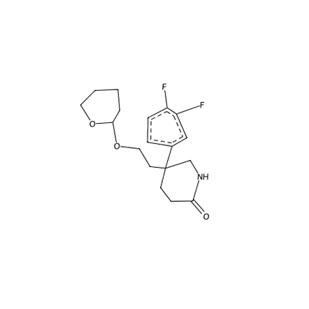 O=C1CCC(CCOC2CCCCO2)(c2ccc(F)c(F)c2)CN1